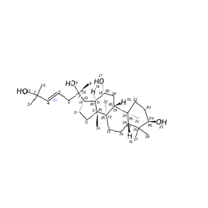 CC(C)(O)/C=C/C[C@](C)(O)[C@H]1CC[C@]2(C)[C@@H]1[C@H](O)C[C@@H]1[C@@]3(C)CC[C@@H](O)C(C)(C)[C@@H]3CC[C@]12C